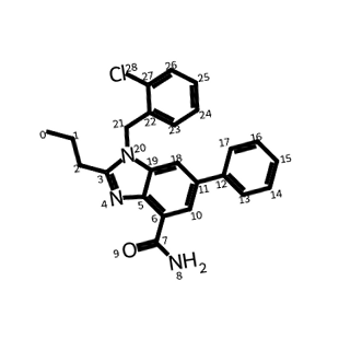 CCCc1nc2c(C(N)=O)cc(-c3ccccc3)cc2n1Cc1ccccc1Cl